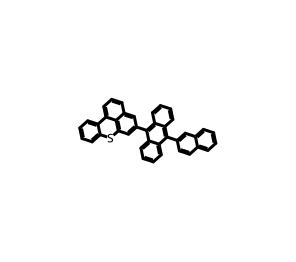 c1ccc2c(c1)Sc1cc(-c3c4ccccc4c(-c4ccc5ccccc5c4)c4ccccc34)cc3cccc-2c13